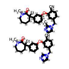 CCC1(c2cccc(Oc3cc(Cn4ccnc4)ccc3C#N)c2)CCCCN(C)C1=O.CCC1(c2cccc(Oc3cc(Cn4ccnc4C)ccc3C#N)c2)CCCCN(C)C1=O